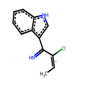 C/C=C(/Cl)C(=N)c1c[nH]c2ccccc12